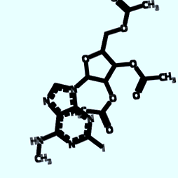 CNc1nc(I)nc2c1ncn2C1OC(COC(C)=O)C(OC(C)=O)C1OC(C)=O